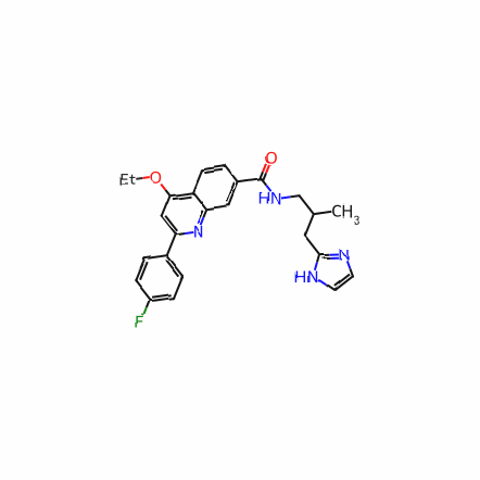 CCOc1cc(-c2ccc(F)cc2)nc2cc(C(=O)NCC(C)Cc3ncc[nH]3)ccc12